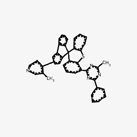 Cc1nc(-c2ccccc2)nc(-c2cccc3c2Sc2ccccc2C32c3ccccc3-c3cc(-c4ccncc4C)ccc32)n1